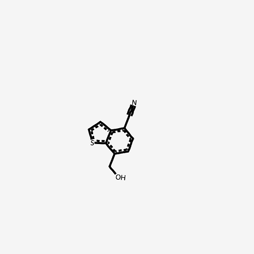 N#Cc1ccc(CO)c2sccc12